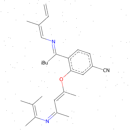 C=C/C(C)=C\N=C(\c1ccc(C#N)cc1O/C(C)=C/C(C)=N\C(C)=C(C)C)C(C)CC